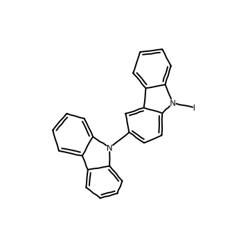 In1c2ccccc2c2cc(-n3c4ccccc4c4ccccc43)ccc21